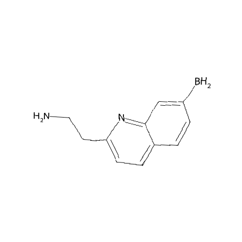 Bc1ccc2ccc(CCN)nc2c1